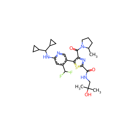 CC1CCCN1C(=O)c1nc(C(=O)NCC(C)(C)O)sc1-c1cnc(NC(C2CC2)C2CC2)cc1C(F)F